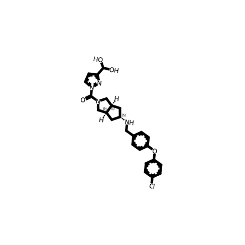 O=C(N1C[C@H]2C[C@H](NCc3ccc(Oc4ccc(Cl)cc4)cc3)C[C@H]2C1)n1ccc(C(O)O)n1